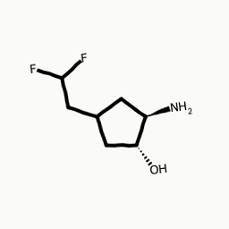 N[C@@H]1CC(CC(F)F)C[C@H]1O